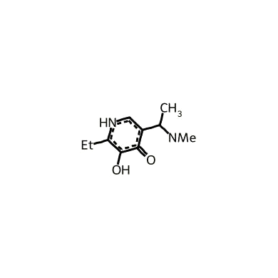 CCc1[nH]cc(C(C)NC)c(=O)c1O